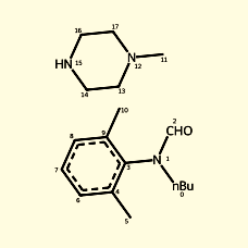 CCCCN(C=O)c1c(C)cccc1C.CN1CCNCC1